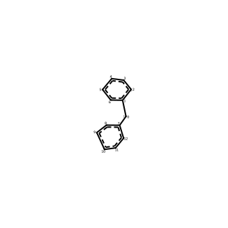 [C](c1[c]cccc1)c1ccccc1